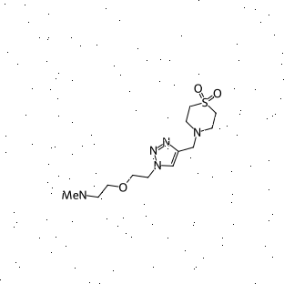 CNCCOCCn1cc(CN2CCS(=O)(=O)CC2)nn1